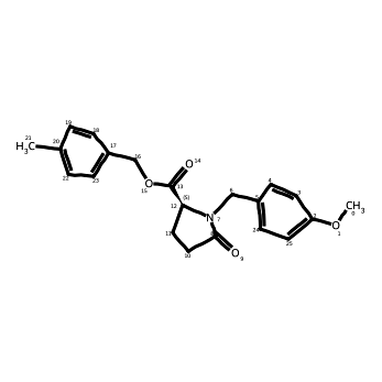 COc1ccc(CN2C(=O)CC[C@H]2C(=O)OCc2ccc(C)cc2)cc1